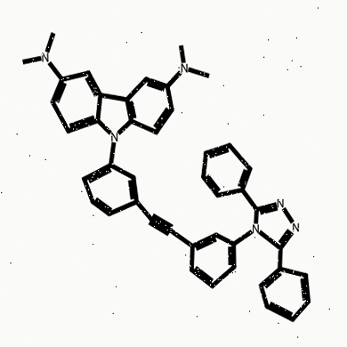 CN(C)c1ccc2c(c1)c1cc(N(C)C)ccc1n2-c1cccc(C#Cc2cccc(-n3c(-c4ccccc4)nnc3-c3ccccc3)c2)c1